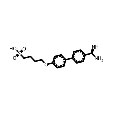 N=C(N)c1ccc(-c2ccc(OCCCCS(=O)(=O)O)cc2)cc1